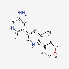 Cc1ncc(N)cc1-c1cnc(C2=CCOCC2)c(C#N)c1